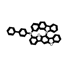 c1ccc(-c2ccc(N(c3ccccc3)c3cccc4c3oc3c(-n5c6ccccc6c6ccccc65)c5c(cc34)oc3ccccc35)cc2)cc1